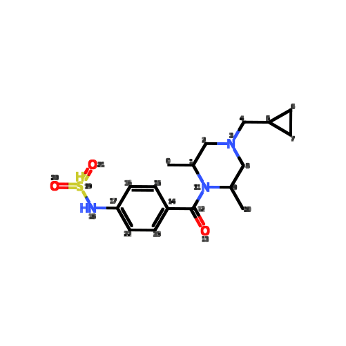 CC1CN(CC2CC2)CC(C)N1C(=O)c1ccc(N[SH](=O)=O)cc1